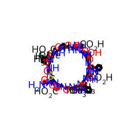 CCCC[C@H]1C(=O)N(C)[C@@H](CCCC)C(=O)N[C@@H](CCC(=O)O)C(=O)N[C@H](C(=O)NCC(N)=O)CSCC(=O)N[C@@H](Cc2ccc(OC)cc2)C(=O)N(C)[C@@H](C)C(=O)N[C@@H](CC(=O)O)C(=O)N2CCC[C@H]2C(=O)N[C@@H](CN)C(=O)N[C@@H](CCC(=O)O)C(=O)N2C[C@H](O)C[C@H]2C(=O)N[C@@H](Cc2c[nH]c3ccccc23)C(=O)N[C@@H](CC(=O)O)C(=O)N[C@@H](Cc2c[nH]c3ccccc23)C(=O)N1C